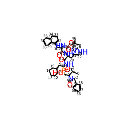 CC(C)C(CP(=O)(O)C(CC1CCCCC1)NC(=O)[C@H](Cc1c[nH]cn1)NC(=O)C(Cc1cccc2ccccc12)NC(=O)OC(C)(C)C)N(C=O)Cc1ccccc1